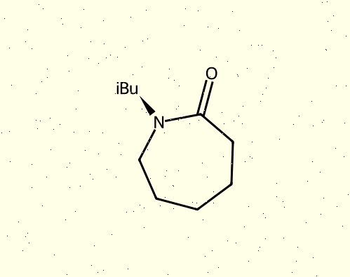 CC[C@H](C)N1CCCCCC1=O